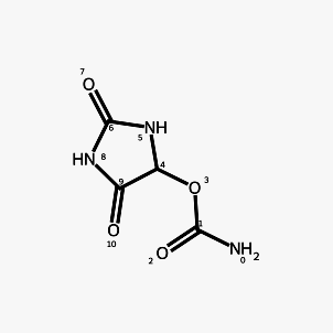 NC(=O)OC1NC(=O)NC1=O